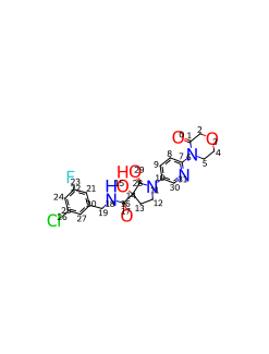 O=C1COCCN1c1ccc(N2CCC(O)(C(=O)NCc3cc(F)cc(Cl)c3)C2=O)cn1